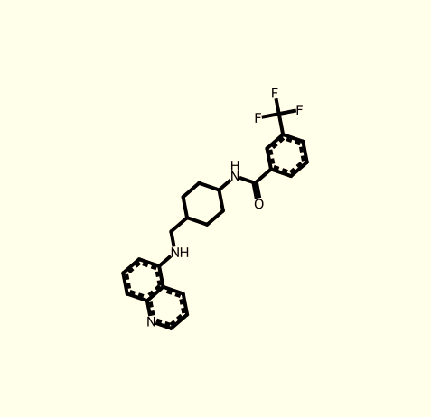 O=C(NC1CCC(CNc2cccc3ncccc23)CC1)c1cccc(C(F)(F)F)c1